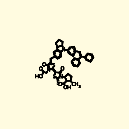 CC1CCC(N2C(=O)/C(=c3\s/c(=C\c4ccc5c(c4)C4CCCC4N5c4ccc(C=C(c5ccccc5)c5ccccc5)cc4)c(=O)n3CC(=O)O)SC2=S)C1C(=O)O